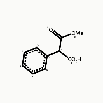 COC(=O)C(C(=O)O)c1ccccc1